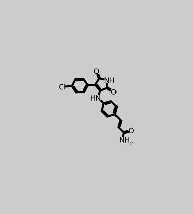 NC(=O)/C=C/c1ccc(NC2=C(c3ccc(Cl)cc3)C(=O)NC2=O)cc1